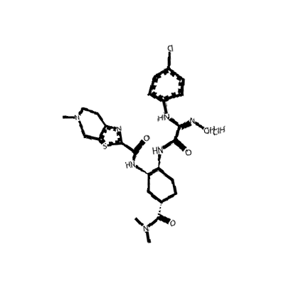 CN1CCc2nc(C(=O)N[C@@H]3C[C@@H](C(=O)N(C)C)CC[C@@H]3NC(=O)/C(=N\O)Nc3ccc(Cl)cc3)sc2C1.Cl